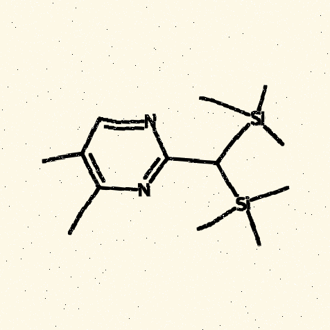 Cc1cnc(C([Si](C)(C)C)[Si](C)(C)C)nc1C